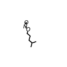 CC(C)CCCON=O